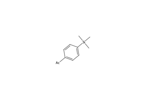 CC(=O)c1ccc([Si](C)(C)C)cc1